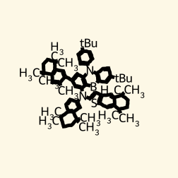 Cc1cc2c(cc1-c1cc3c4c(c1)N(c1ccc5c(c1)C(C)(C)CCC5(C)C)c1sc5cc6c(cc5c1B4c1cc(C(C)(C)C)ccc1N3c1ccc(C(C)(C)C)cc1)C(C)(C)CCC6(C)C)C(C)(C)CCC2(C)C